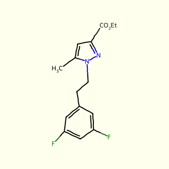 CCOC(=O)c1cc(C)n(CCc2cc(F)cc(F)c2)n1